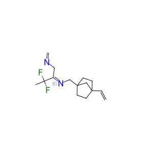 C=CC12CCC(C/N=C(\CN=C)C(C)(F)F)(CC1)C2